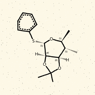 C[C@@H]1[C@H]2OC(C)(C)O[C@H]2[C@H](Sc2ccccc2)O[C@H]1C